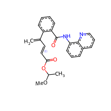 C=C(/C=C/C(=O)OC(C)OC)c1ccccc1C(=O)Nc1cccc2cccnc12